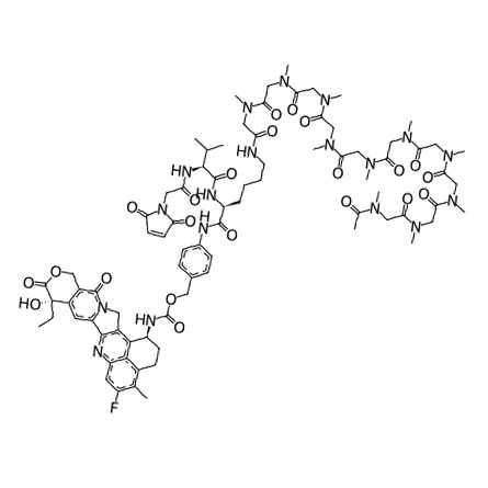 CC[C@@]1(O)C(=O)OCc2c1cc1n(c2=O)Cc2c-1nc1cc(F)c(C)c3c1c2[C@@H](NC(=O)OCc1ccc(NC(=O)[C@H](CCCCNC(=O)CN(C)C(=O)CN(C)C(=O)CN(C)C(=O)CN(C)C(=O)CN(C)C(=O)CN(C)C(=O)CN(C)C(=O)CN(C)C(=O)CN(C)C(=O)CN(C)C(C)=O)NC(=O)[C@@H](NC(=O)CN2C(=O)C=CC2=O)C(C)C)cc1)CC3